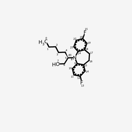 CCCCC[C@H](CO)N1c2ccc(F)cc2CCc2cc(F)ccc21